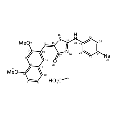 CC(=O)O.COc1cc2c(OC)cccc2cc1C=C1SC(Nc2cc[c]([Na])cc2)=NC1=O